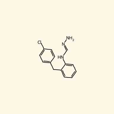 NN=CNc1ccccc1Cc1ccc(Cl)cc1